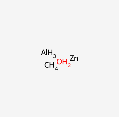 C.O.[AlH3].[Zn]